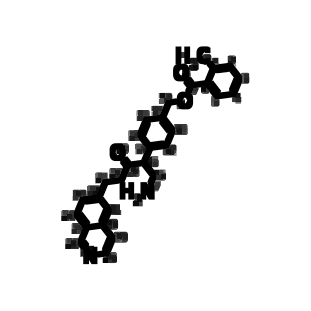 Cc1ccccc1C(=O)OCc1ccc(C(CN)C(=O)CCc2ccc3cnccc3c2)cc1